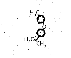 Cc1ccc(Oc2ccc(C(C)C)cc2)cc1